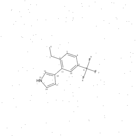 CCc1ccc(C(F)(F)F)cc1-c1cc[nH]c1